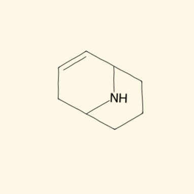 C1=CC2CCCC(C1)N2